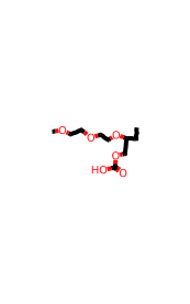 CCC(COC(=O)O)OCCOCCOC